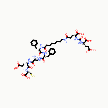 N[C@@H](CNC(=O)[C@H](Cc1ccccc1)NC(=O)[C@H](Cc1ccccc1)NC(=O)CCCCCCCNC(=O)CC[C@H](NC(=O)N[C@@H](CCC(=O)O)C(=O)O)C(=O)O)C(=O)N[C@@H](CCC(=O)O)C(=O)N[C@@H](CS)C(=O)O